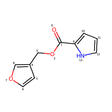 O=C(OCc1ccoc1)c1ccc[nH]1